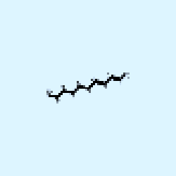 CC=CC=CCCCCCC